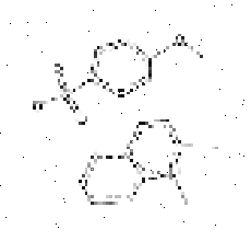 COc1ccc(S(=O)(=O)[O-])cc1.Cc1ccc2ccccc2[n+]1C